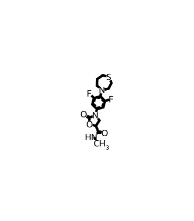 CNC(=O)C1CN(c2cc(F)c(N3CCCSCC3)c(F)c2)C(=O)O1